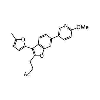 COc1ccc(-c2ccc3c(-c4ccc(C)o4)c(CCC(C)=O)oc3c2)cn1